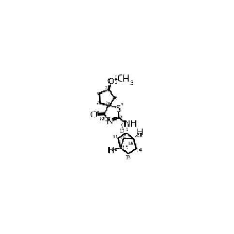 COC1CCC2(C1)SC(N[C@H]1C[C@H]3CC[C@H]1C3)=NC2=O